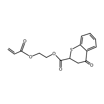 C=CC(=O)OCCOC(=O)C1CC(=O)c2ccccc2S1